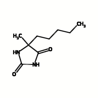 CCCCCC1(C)NC(=O)NC1=O